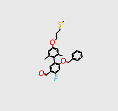 CSCCCOc1cc(C)c(-c2cc(C=O)c(F)cc2OCc2ccccc2)c(C)c1